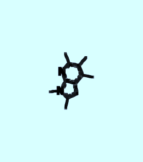 Cc1nc2c(cc(C)n2C)c(C)c1C